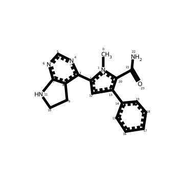 Cn1c(-c2ncnc3c2CCN3)cc(-c2ccccc2)c1C(N)=O